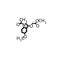 COC(=O)COc1cn(C(C)=O)c2ccc(OC)cc12